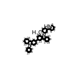 CC1C=CC(C2=CC=CCN2)=CC1n1c2c(c3ccccc31)=CC(C1=CC3C4C=CC=CC4N(c4ccccc4)C3C=C1)CC=2